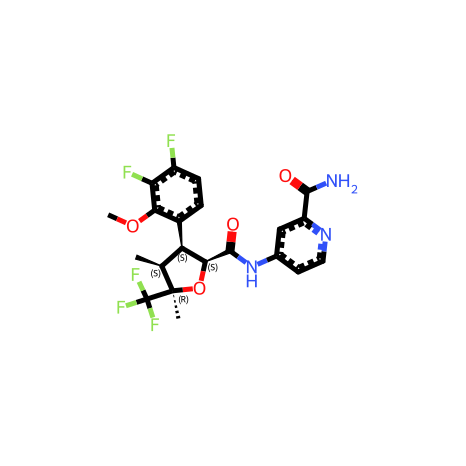 COc1c([C@H]2[C@@H](C(=O)Nc3ccnc(C(N)=O)c3)O[C@@](C)(C(F)(F)F)[C@H]2C)ccc(F)c1F